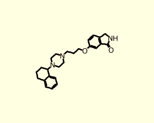 O=C1NCc2ccc(OCCCN3CCN(C4CCCc5ccccc54)CC3)cc21